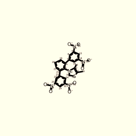 CC1=C(C)N(c2c(-c3cc([N+](=O)[O-])cc([N+](=O)[O-])c3)cccc2-c2cc([N+](=O)[O-])cc([N+](=O)[O-])c2)[C]S1